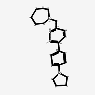 c1cc(N2CCCC2)ccc1-c1ccc(CN2CCCCCC2)nn1